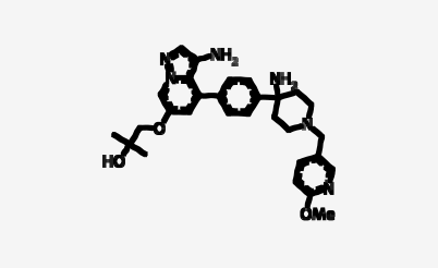 COc1ccc(CN2CCC(N)(c3ccc(-c4cc(OCC(C)(C)O)cn5ncc(N)c45)cc3)CC2)cn1